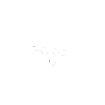 CCOc1ccc2c(C3N=NC=C3C)c(-c3ccc(NC(=O)OC(C)C)cc3)n(C3CCC3)c2c1